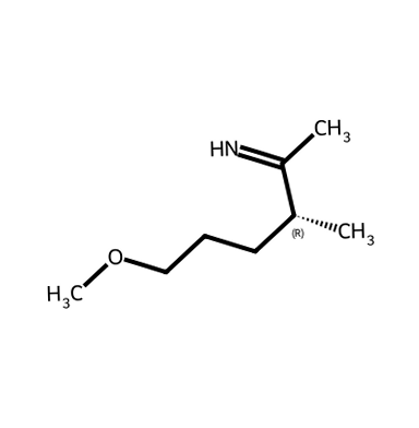 COCCC[C@@H](C)C(C)=N